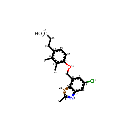 Cc1nc2cc(Cl)cc(COc3ccc(CCC(=O)O)c(C)c3C)c2s1